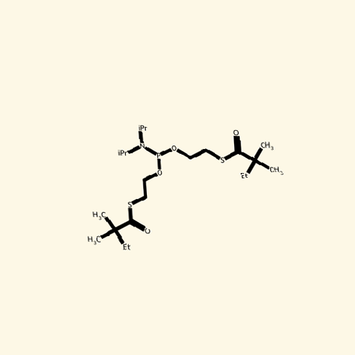 CCC(C)(C)C(=O)SCCOP(OCCSC(=O)C(C)(C)CC)N(C(C)C)C(C)C